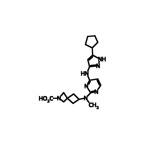 CN(c1nccc(Nc2cc(C3CCCC3)[nH]n2)n1)C1CC2(C1)CN(C(=O)O)C2